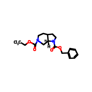 O=C(OCC(Cl)(Cl)Cl)N1CCC2CCN(C(=O)OCc3ccccc3)[C@@H]2C1